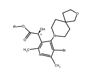 Cc1nc(C)c([C@H](O)C(=O)OC(C)C)c(N2CCC3(CCOC3)CC2)c1Br